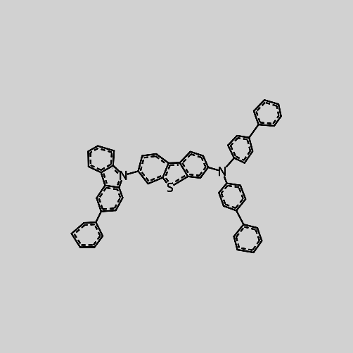 c1ccc(-c2ccc(N(c3ccc(-c4ccccc4)cc3)c3ccc4c(c3)sc3cc(-n5c6ccccc6c6cc(-c7ccccc7)ccc65)ccc34)cc2)cc1